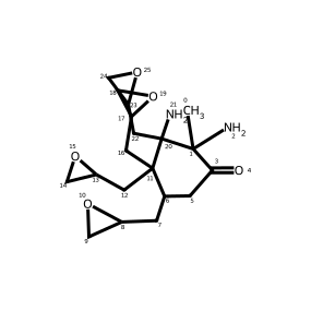 CC1(N)C(=O)CC(CC2CO2)C(CC2CO2)(CC2CO2)C1(N)CC1CO1